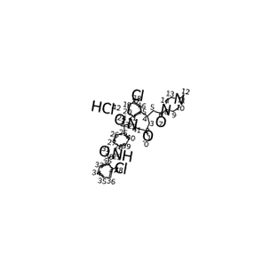 COC1CC(CC(=O)N2CCN(C)CC2)c2cc(Cl)ccc2N(C(=O)c2ccc(NC(=O)c3ccccc3Cl)cc2)C1.Cl